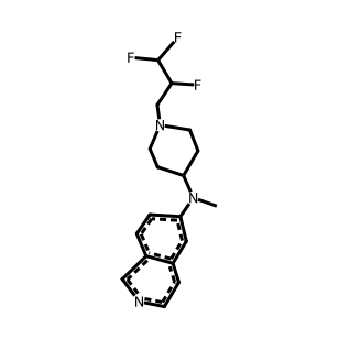 CN(c1ccc2cnccc2c1)C1CCN(CC(F)C(F)F)CC1